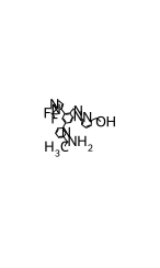 CC(N)c1cccc(-c2cc(-c3ccnn3C(F)F)c3cnn(-c4cccc(CO)n4)c3c2)n1